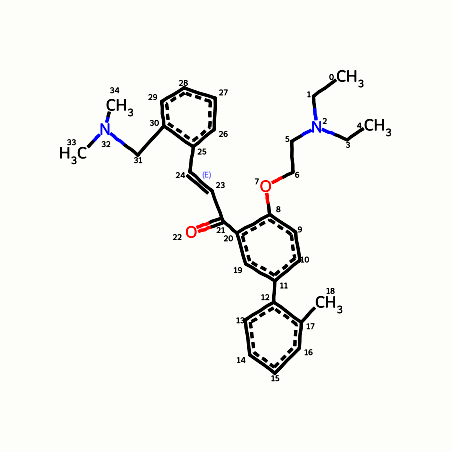 CCN(CC)CCOc1ccc(-c2ccccc2C)cc1C(=O)/C=C/c1ccccc1CN(C)C